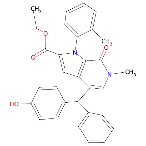 CCOC(=O)c1cc2c(C(c3ccccc3)c3ccc(O)cc3)cn(C)c(=O)c2n1-c1ccccc1C